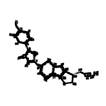 Cc1cnc(-c2nc(-c3ccc4c(c3)cc3n4CC[C@H]3CC(=O)O)no2)cn1